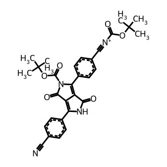 CC(C)(C)OC(=O)[N+]#Cc1ccc(C2=C3C(=O)NC(c4ccc(C#N)cc4)=C3C(=O)N2C(=O)OC(C)(C)C)cc1